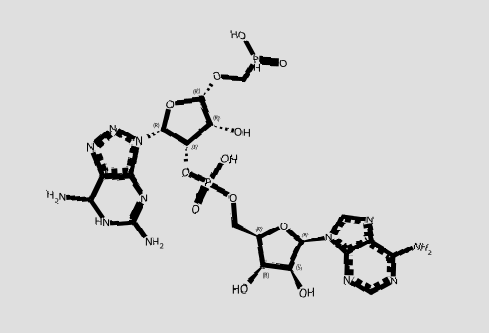 NC1=Nc2c(nnn2[C@@H]2O[C@H](OC[PH](=O)O)[C@H](O)[C@@H]2OP(=O)(O)OC[C@H]2O[C@@H](n3cnc4c(N)ncnc43)[C@@H](O)[C@H]2O)C(N)N1